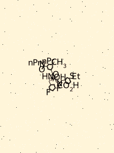 CCCN(CCC)C(=O)c1cc(C)cc(C(=O)N[C@@H](Cc2cc(F)cc(F)c2)[C@H](O)CN(Cc2cccc(SCC)c2)C(=O)O)c1